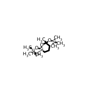 CC1(O[Si](C)(C)C)CCC[Si](C)(O[Si](C)(C)C)O1